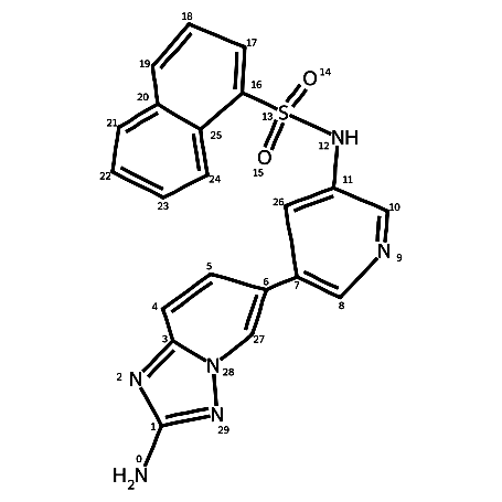 Nc1nc2ccc(-c3cncc(NS(=O)(=O)c4cccc5ccccc45)c3)cn2n1